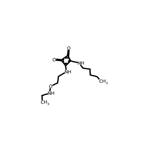 CCCCCNc1c(NCCONCC)c(=O)c1=O